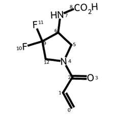 C=CC(=O)N1CC(NC(=O)O)C(F)(F)C1